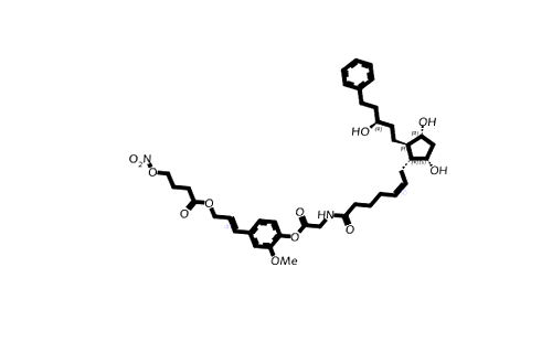 COc1cc(/C=C/COC(=O)CCCO[N+](=O)[O-])ccc1OC(=O)CNC(=O)CCC/C=C\C[C@@H]1[C@@H](CC[C@@H](O)CCc2ccccc2)[C@H](O)C[C@@H]1O